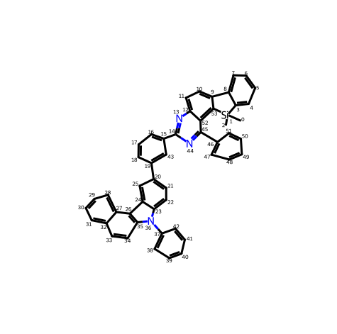 C[Si]1(C)c2ccccc2-c2ccc3nc(-c4cccc(-c5ccc6c(c5)c5c7ccccc7ccc5n6-c5ccccc5)c4)nc(-c4ccccc4)c3c21